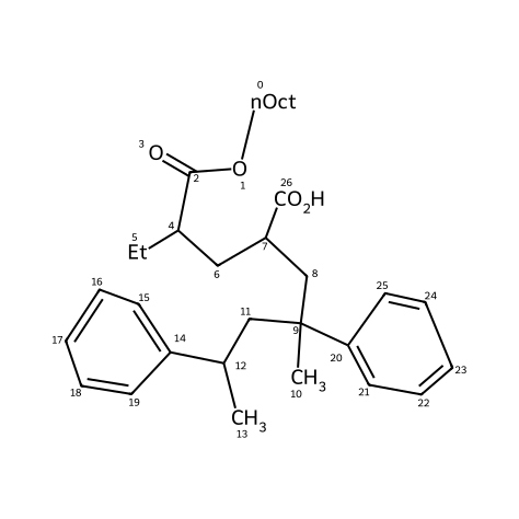 CCCCCCCCOC(=O)C(CC)CC(CC(C)(CC(C)c1ccccc1)c1ccccc1)C(=O)O